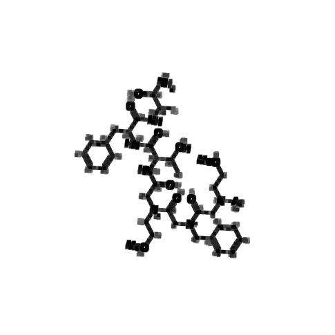 COCCN(CC(=O)N(CC(=O)N(CCOC)CC(=O)NC(C(=O)NC(Cc1ccccc1)C(=O)NC(C)C(N)=O)C(C)O)Cc1ccccc1)C(C)=O